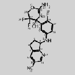 CC1(c2cc(NC3CCc4cc(C#N)cnc43)ccc2F)N=C(N)OCC1(F)F